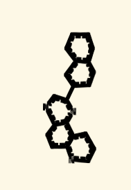 c1ccc2cc(-c3cnc4ccc5ncccc5c4n3)ccc2c1